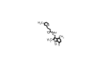 Cc1ccnc(C=CC(=O)NCCc2c(C)[nH]c3c(F)ccc(C)c23)c1